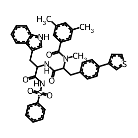 Cc1cc(C)cc(C(=O)N(C)C(Cc2ccc(-c3ccsc3)cc2)C(=O)NC(Cc2c[nH]c3ccccc23)C(=O)NS(=O)(=O)c2ccccc2)c1